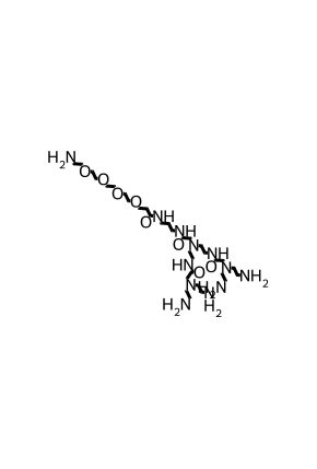 NCCOCCOCCOCCOCCC(=O)NCCCNC(=O)CN(CCNC(=O)CN(CCN)CCN)CCNC(=O)CN(CCN)CCN